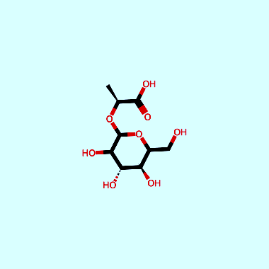 C[C@H](OC1OC(CO)[C@@H](O)[C@H](O)C1O)C(=O)O